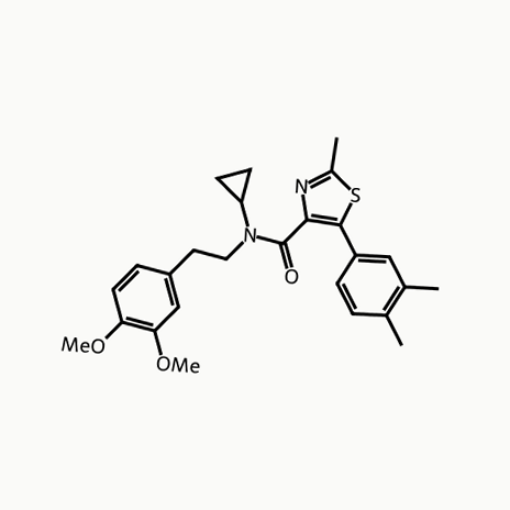 COc1ccc(CCN(C(=O)c2nc(C)sc2-c2ccc(C)c(C)c2)C2CC2)cc1OC